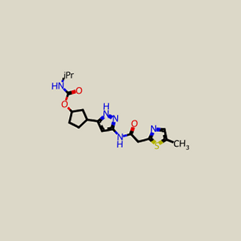 Cc1cnc(CC(=O)Nc2cc(C3CCC(OC(=O)NC(C)C)C3)[nH]n2)s1